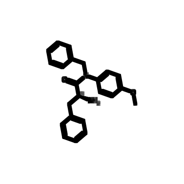 COc1ccc(N(Cc2ccccc2)C(=O)[C@@H](N)Cc2ccccc2)cc1